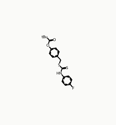 CC(C)(C)C(=O)Oc1ccc(CSC(=S)Nc2ccc(F)cc2)cc1